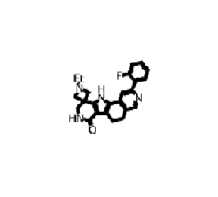 CCN1CC2(CNC(=O)c3c2[nH]c2c3CCc3cnc(-c4ccccc4F)cc3-2)C1